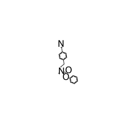 CN(CCc1ccc(C#N)cc1)C(=O)Oc1ccccc1